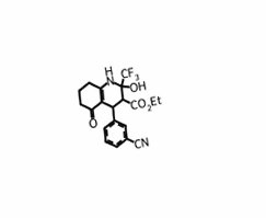 CCOC(=O)C1C(c2cccc(C#N)c2)C2=C(CCCC2=O)NC1(O)C(F)(F)F